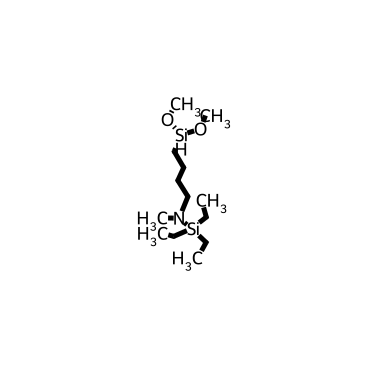 CC[Si](CC)(CC)N(C)CCCC[SiH](OC)OC